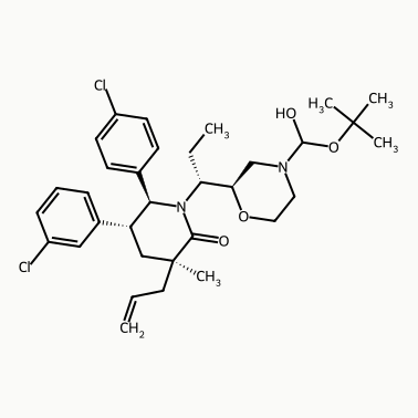 C=CC[C@@]1(C)C[C@H](c2cccc(Cl)c2)[C@@H](c2ccc(Cl)cc2)N([C@H](CC)[C@H]2CN(C(O)OC(C)(C)C)CCO2)C1=O